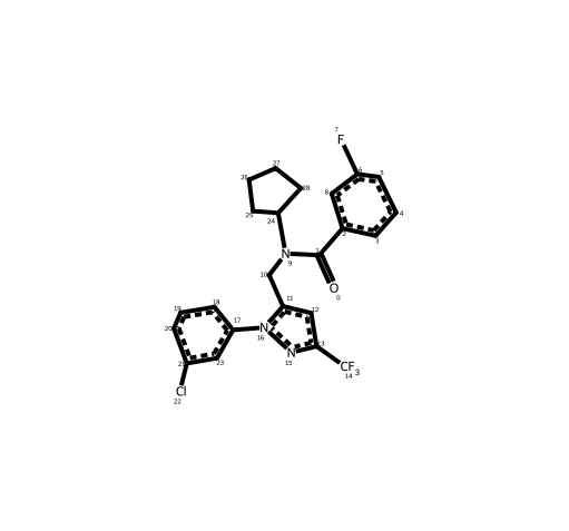 O=C(c1cccc(F)c1)N(Cc1cc(C(F)(F)F)nn1-c1cccc(Cl)c1)C1CCCC1